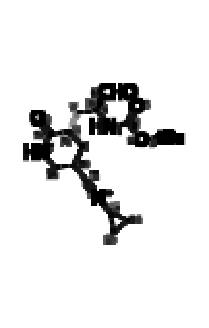 CC(C)(C)OC(=O)N[C@H](C=O)C[C@@H]1CC(C#[N+]C2CC2)CNC1=O